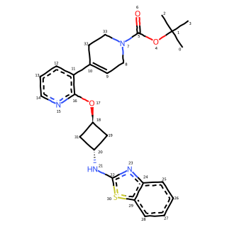 CC(C)(C)OC(=O)N1CC=C(c2cccnc2O[C@H]2C[C@H](Nc3nc4ccccc4s3)C2)CC1